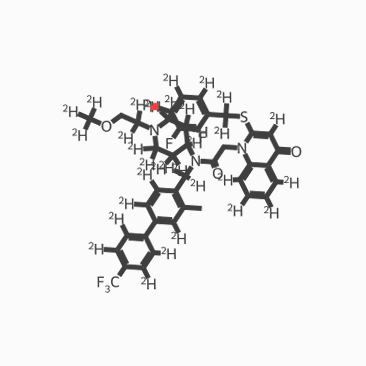 [2H]c1c([2H])c(F)c(F)c(C([2H])([2H])Sc2c([2H])c(=O)c3c([2H])c([2H])c([2H])c([2H])c3n2CC(=O)N(C([2H])([2H])c2c([2H])c([2H])c(-c3c([2H])c([2H])c(C(F)(F)F)c([2H])c3[2H])c([2H])c2C)C2([2H])C([2H])([2H])C([2H])([2H])N(C([2H])([2H])COC([2H])([2H])[2H])C([2H])([2H])C2([2H])[2H])c1[2H]